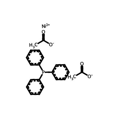 CC(=O)[O-].CC(=O)[O-].[Ni+2].c1ccc(P(c2ccccc2)c2ccccc2)cc1